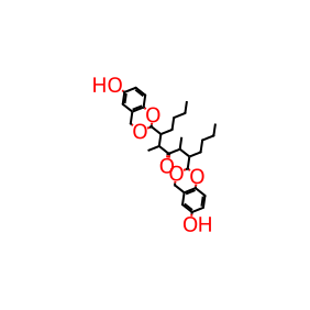 CCCCC(C1OCc2cc(O)ccc2O1)C(C)C(=O)C(C)C(CCCC)C1OCc2cc(O)ccc2O1